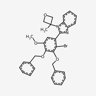 COc1cc(-c2nc3ccccc3n2C2(C)COC2)c(Br)c(OCc2ccccc2)c1OCc1ccccc1